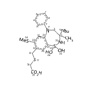 CCCCC1(C)CN(c2ccccc2)c2cc(SC)c(CSCC(=O)O)cc2S(O)(O)N1